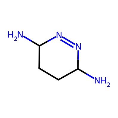 NC1CCC(N)N=N1